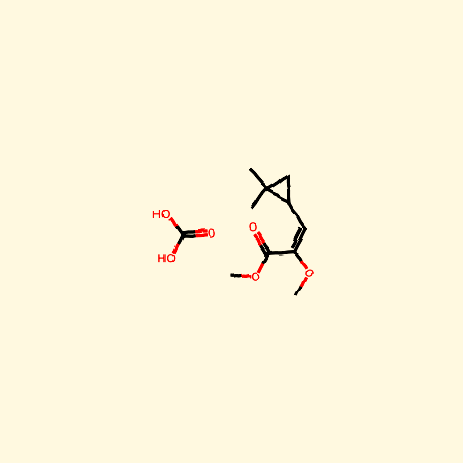 COC(=O)/C(=C\C1CC1(C)C)OC.O=C(O)O